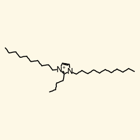 CCCCCCCCCCCn1cc[n+](CCCCCCCCCC)c1CCCC